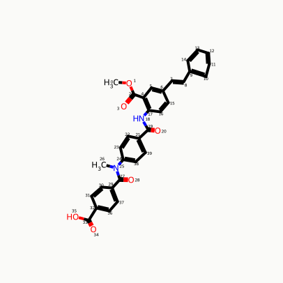 COC(=O)c1cc(/C=C/c2ccccc2)ccc1NC(=O)c1ccc(N(C)C(=O)c2ccc(C(=O)O)cc2)cc1